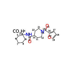 O=C(NC1(C(=O)O)CCCCC1)C1CCN(C(=O)c2ccco2)CC1